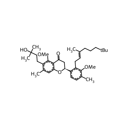 COc1c(C)ccc([C@@H]2CC(=O)c3c(cc(C)c(CCC(C)(C)O)c3OC)O2)c1C/C=C(\C)CCCC(C)(C)C